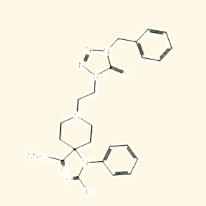 CCC(=O)N(c1ccccc1)C1(C(=O)OC)CCN(CCn2nnn(Cc3ccccc3)c2=O)CC1